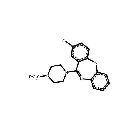 CCOC(=O)N1CCN(C2=Nc3ccccc3Sc3ccc(Cl)cc32)CC1